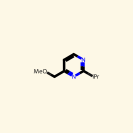 COCc1ccnc(C(C)C)n1